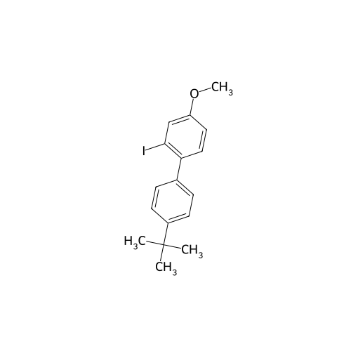 COc1ccc(-c2ccc(C(C)(C)C)cc2)c(I)c1